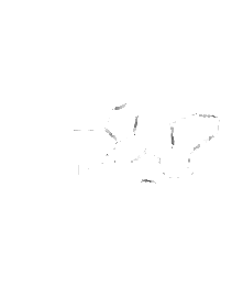 CCCc1cccc2c3c4c(ccc3n(C)c12)oc1ccccc14